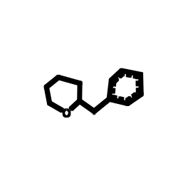 [CH](c1ccccc1)C1CCCCO1